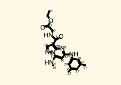 CCOC(=O)CNC(=O)c1cnn2c(NC)cc(Nc3cc(C)cc(C)c3)nc12